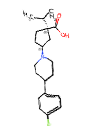 CC(C)[C@@]1(C(=O)O)CC[C@H](N2CCC(c3ccc(F)cc3)CC2)C1